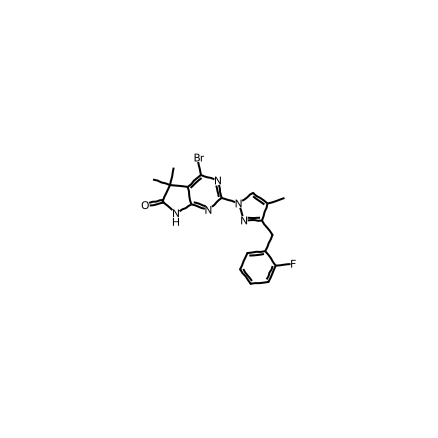 Cc1cn(-c2nc(Br)c3c(n2)NC(=O)C3(C)C)nc1Cc1ccccc1F